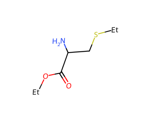 CCOC(=O)C(N)CSCC